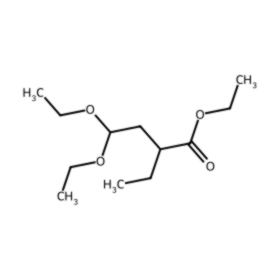 CCOC(=O)C(CC)CC(OCC)OCC